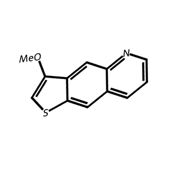 COc1csc2cc3cccnc3cc12